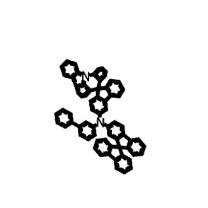 c1ccc(-c2cccc(N(c3ccc4c(c3)-c3ccccc3C43c4ccccc4-n4c5ccccc5c5cccc3c54)c3ccc4c(c3)C3(c5ccccc5-c5ccccc53)c3ccccc3-4)c2)cc1